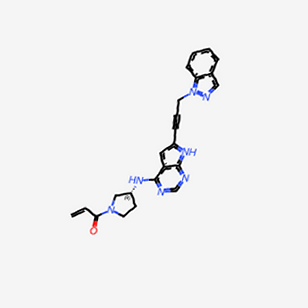 C=CC(=O)N1CC[C@@H](Nc2ncnc3[nH]c(C#CCn4ncc5ccccc54)cc23)C1